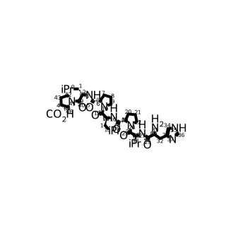 CC(C)C[C@H](NC(=O)[C@@H]1CCCN1C(=O)[C@H](CC(C)C)NC(=O)[C@@H]1CCCN1C(=O)[C@@H](NC(=O)[C@@H](N)Cc1c[nH]cn1)C(C)C)C(=O)N1CCC[C@H]1C(=O)O